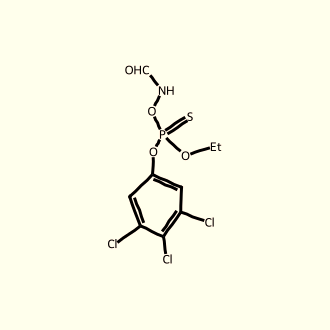 CCOP(=S)(ONC=O)Oc1cc(Cl)c(Cl)c(Cl)c1